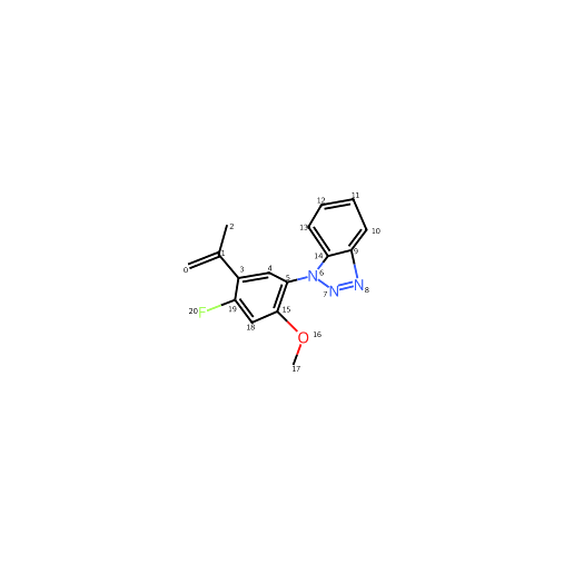 C=C(C)c1cc(-n2nnc3ccccc32)c(OC)cc1F